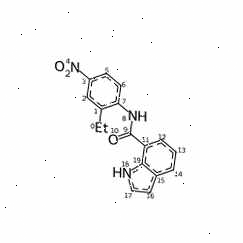 CCc1cc([N+](=O)[O-])ccc1NC(=O)c1cccc2cc[nH]c12